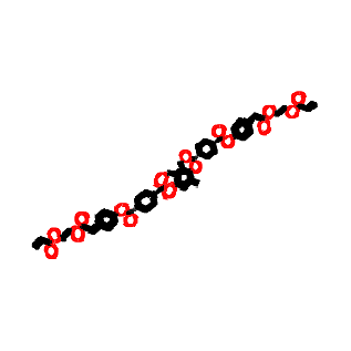 C=CC(=O)OCCOC(=O)Cc1ccc(OC(=O)[C@H]2CC[C@H](C(=O)Oc3cc(C)c(OC(=O)[C@H]4CC[C@H](C(=O)Oc5ccc(CC(=O)OCCOC(=O)C=C)cc5)CC4)c(C)c3C)CC2)cc1